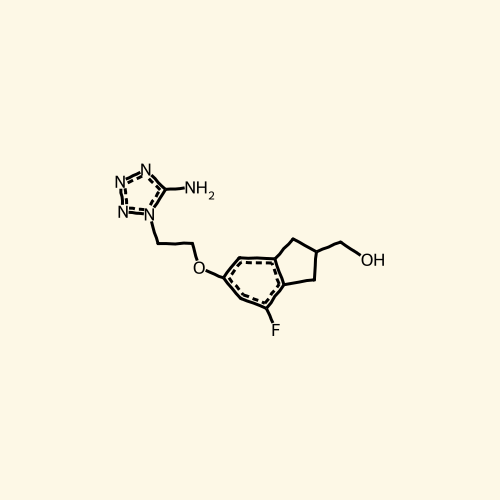 Nc1nnnn1CCOc1cc(F)c2c(c1)CC(CO)C2